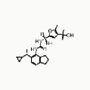 Cc1oc([S@](=N)(=O)NC(=O)Nc2c([C@H](C)C3CC3)ccc3c2CCC3)cc1C(C)(C)O